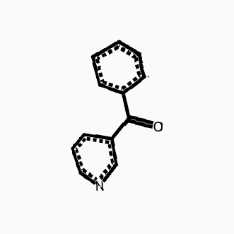 O=C(c1[c]cccc1)c1cccnc1